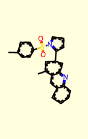 Cc1ccc(S(=O)(=O)n2cccc2-c2cc(C)c3cc4ccccc4nc3c2)cc1